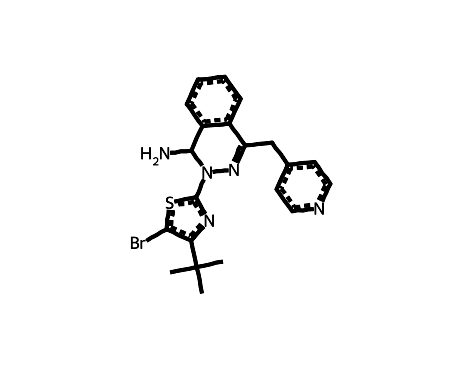 CC(C)(C)c1nc(N2N=C(Cc3ccncc3)c3ccccc3C2N)sc1Br